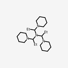 CCC(N1CCCCC1)N(C(CC)N1CCCCC1)C(CC)N1CCCCC1